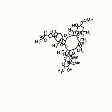 CO/N=C1\C[C@@H](C)O[C@@H](O[C@@H]2[C@@H](C)[C@H](O[C@H]3CC(C)N([C@H]4C[C@H](NS(C)(=O)=O)C4)C[C@H](C)O3)[C@@H](C)C(=O)O[C@H]([C@@H](C)CO[C@@H]3O[C@H](C)[C@@H](O)[C@@H](OC)[C@H]3OC)[C@H](C)[C@@H](OC(=O)CC(C)C)[C@@H](C)C(=O)[C@@](C)(O)C[C@@H]2C)[C@@H]1O